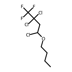 CCCCOC(Cl)CC(Cl)(Cl)C(F)(F)F